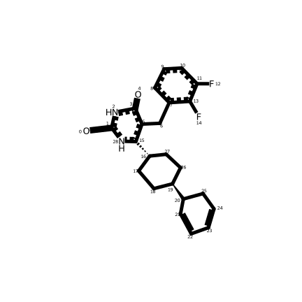 O=c1[nH]c(=O)c(Cc2cccc(F)c2F)c([C@H]2CC[C@H](C3C=CC=CC3)CC2)[nH]1